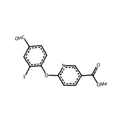 COC(=O)c1ccc(Oc2ccc(C=O)cc2F)nc1